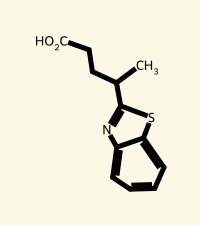 CC(CCC(=O)O)c1nc2ccccc2s1